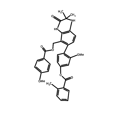 COc1ccc(C(=O)OCc2c(-c3ccc(OC(=O)c4ccccc4C)cc3OC)ccc3c2NC(=O)C(C)(C)N3)cc1